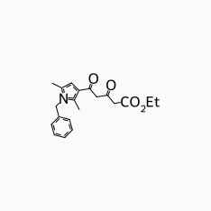 CCOC(=O)CC(=O)CC(=O)c1cc(C)n(Cc2ccccc2)c1C